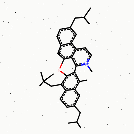 Cc1c2c(c(CC(C)(C)C)c3ccc(CC(C)C)cc13)Oc1cc3ccc(CC(C)C)cc3c3cc[n+](C)c-2c13